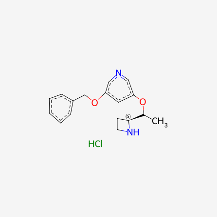 CC(Oc1cncc(OCc2ccccc2)c1)[C@@H]1CCN1.Cl